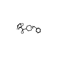 O=C(c1ncco1)C1CCN(Cc2ccccc2)CC1